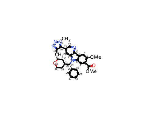 COC(=O)c1cc2c(cc1OC)c1ncc(-c3c(C)nnn3C)cc1n2[C@H](c1ccccc1)C1CCOCC1